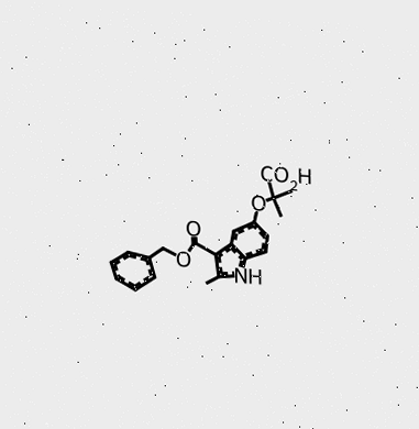 Cc1[nH]c2ccc(OC(C)(C)C(=O)O)cc2c1C(=O)OCc1ccccc1